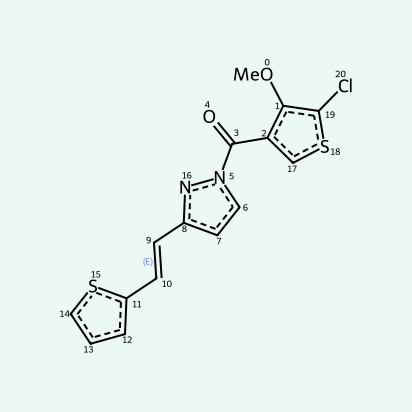 COc1c(C(=O)n2ccc(/C=C/c3cccs3)n2)csc1Cl